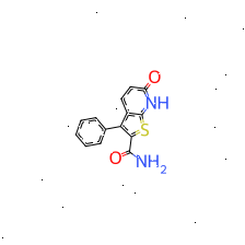 NC(=O)c1sc2[nH]c(=O)ccc2c1-c1ccccc1